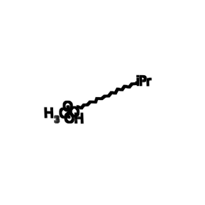 CC(C)CCCCCCCCCCCCCCCCCCOC(=O)C(C)O